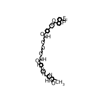 CCc1cc2ncc(CN3CCN(c4ccc(C(=O)NCCOCCOCCOCCNC(=O)c5ccc(C6CCN(C(=O)c7cccc8c(C(F)(F)F)cccc78)CC6)cc5)nc4)CC3)cc2[nH]c1=O